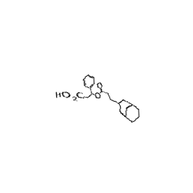 O=C(O)CC(OC(=O)CCC1CC2CCCC(C2)C1)c1ccccc1